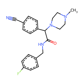 CN1CCN(C(C(=O)NCc2ccc(F)cc2)c2ccc(C#N)cc2)CC1